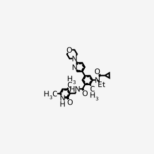 CCN(C(=O)C1CC1)c1cc(-c2ccc(N3CCOCC3)nc2)cc(C(=O)NCc2c(C)cc(C)[nH]c2=O)c1C